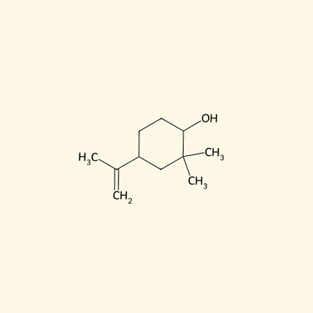 C=C(C)C1CCC(O)C(C)(C)C1